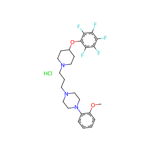 COc1ccccc1N1CCN(CCCN2CCC(Oc3c(F)c(F)c(F)c(F)c3F)CC2)CC1.Cl